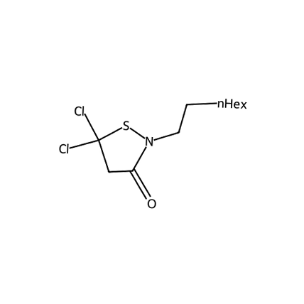 CCCCCCCCN1SC(Cl)(Cl)CC1=O